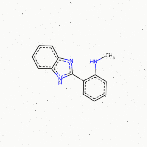 CNc1ccccc1-c1nc2ccccc2[nH]1